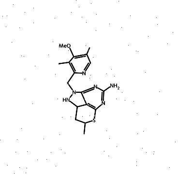 COc1c(C)cnc(CN2NC3CC(C)Sc4nc(N)nc2c43)c1C